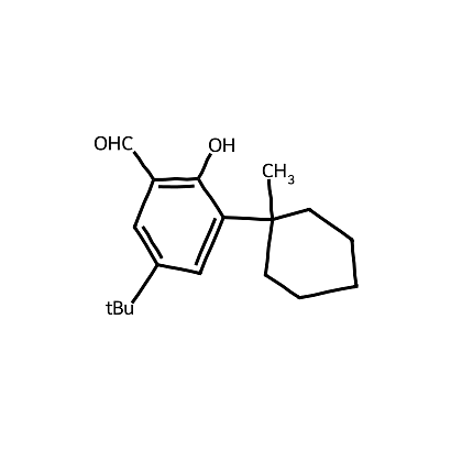 CC(C)(C)c1cc(C=O)c(O)c(C2(C)CCCCC2)c1